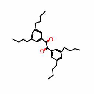 CCCCc1cc(CCCC)cc(C(=O)C(=O)c2cc(CCCC)cc(CCCC)c2)c1